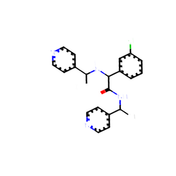 CC(NC(=O)C(NC(C)c1ccncc1)c1cccc(Cl)c1)c1ccncc1